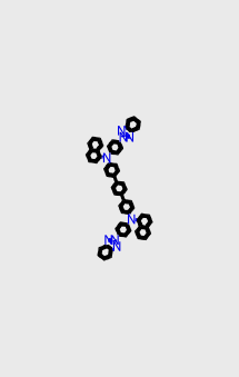 c1ccc2c(N(c3ccc(-c4ccc(-c5ccc(N(c6ccc(-n7nc8ccccc8n7)cc6)c6cccc7ccccc67)cc5)cc4)cc3)c3ccc(-n4nc5ccccc5n4)cc3)cccc2c1